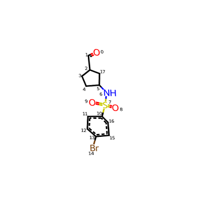 O=CC1CCC(NS(=O)(=O)c2ccc(Br)cc2)C1